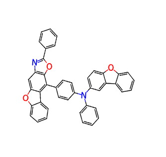 c1ccc(-c2nc3cc4oc5ccccc5c4c(-c4ccc(N(c5ccccc5)c5ccc6oc7ccccc7c6c5)cc4)c3o2)cc1